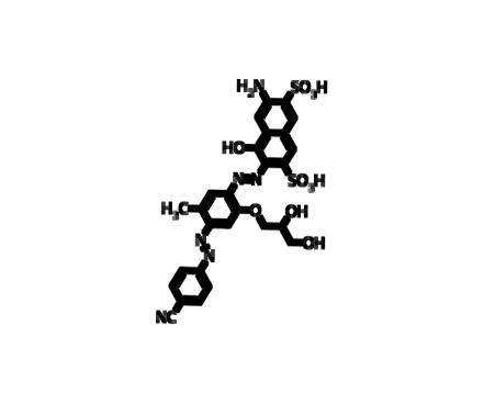 Cc1cc(N=Nc2c(S(=O)(=O)O)cc3cc(S(=O)(=O)O)c(N)cc3c2O)c(OCC(O)CO)cc1N=Nc1ccc(C#N)cc1